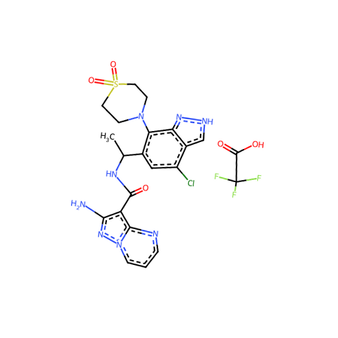 CC(NC(=O)c1c(N)nn2cccnc12)c1cc(Cl)c2c[nH]nc2c1N1CCS(=O)(=O)CC1.O=C(O)C(F)(F)F